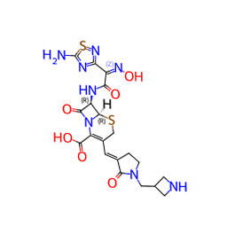 Nc1nc(/C(=N/O)C(=O)N[C@@H]2C(=O)N3C(C(=O)O)=C(C=C4CCN(CC5CNC5)C4=O)CS[C@H]23)ns1